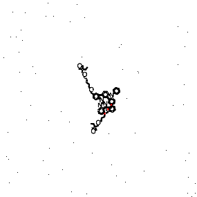 CCC1(COCCCCCOCc2ccc3c(c2)c2c(ccc4c5cc(COCCCCCOCC6(CC)COC6)ccc5n(-c5nc(-c6ccccc6)c6ccccc6n5)c42)n3-c2ccccc2)COC1